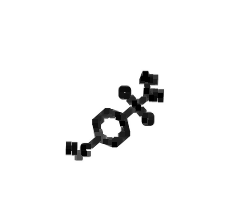 Cc1ccc(S(=O)(=O)[NH][Au])cc1